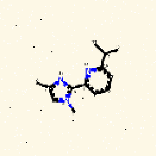 Cc1cn(C)c(-c2cccc(C(C)C)n2)n1